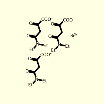 CCN(CC)C(=O)CC(=O)C(=O)[O-].CCN(CC)C(=O)CC(=O)C(=O)[O-].CCN(CC)C(=O)CC(=O)C(=O)[O-].[Bi+3]